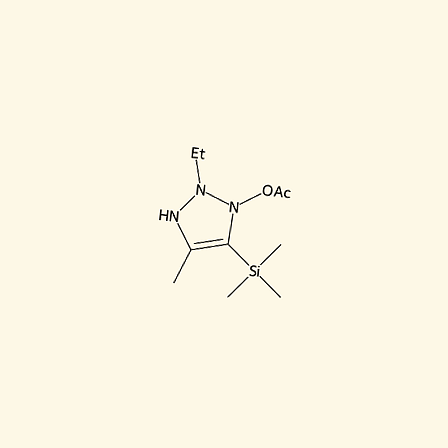 CCN1NC(C)=C([Si](C)(C)C)N1OC(C)=O